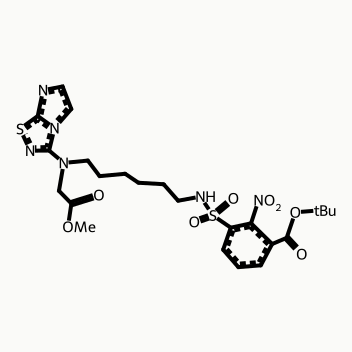 COC(=O)CN(CCCCCCNS(=O)(=O)c1cccc(C(=O)OC(C)(C)C)c1[N+](=O)[O-])c1nsc2nccn12